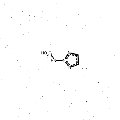 O=C(O)Nn1nccn1